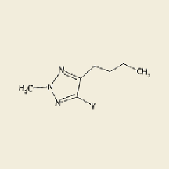 CCCCc1nn(C)n[c]1[Y]